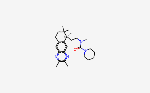 Cc1nc2cc3c(cc2nc1C)[C@](C)(CCN(C)C(=O)N1CCCCC1)C(C)(C)CC3